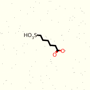 [O]C(=O)CCCCCS(=O)(=O)O